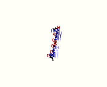 Cc1cc(=O)nc(NC(=O)NCNC(=O)OCOC(=O)NCNC(=O)Nc2nc(=O)cc(C)[nH]2)[nH]1